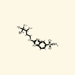 NS(=O)(=O)c1ccc2oc(SCCC(F)C(F)(F)Br)nc2c1